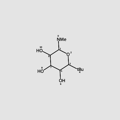 CNC1OC(C(C)(C)C)C(O)C(O)C1O